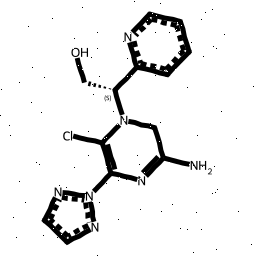 NC1=NC(n2nccn2)=C(Cl)N([C@H](CO)c2ccccn2)C1